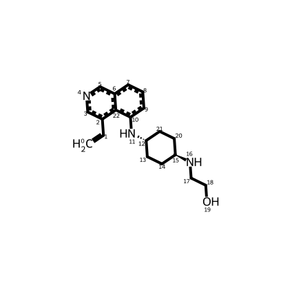 C=Cc1cncc2cccc(N[C@H]3CC[C@H](NCCO)CC3)c12